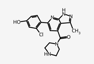 Cc1n[nH]c2nc(-c3ccc(O)cc3Cl)cc(C(=O)N3CCNCC3)c12